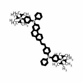 CC(C)[Si](c1ccc(N(c2ccccc2)c2ccc(/C=C/c3ccc4c(ccc5cc(N(c6ccccc6)c6ccc([Si](C(C)C)(C(C)C)C(C)C)cc6)ccc54)c3)cc2)cc1)(C(C)C)C(C)C